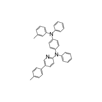 Cc1ccc(-c2ccc(N(c3ccccc3)c3ccc(N(c4ccccc4)c4cccc(C)c4)cc3)nc2)cc1